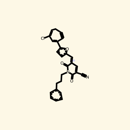 N#CC1=C/C(=C/c2ccc(C3=CC(Cl)=CCC#C3)o2)C(=O)N(CCCc2ccccc2)C1=O